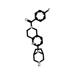 O=C(c1ccc(F)cc1)N1CCc2nc(N3C4CCC3CNC4)ccc2C1